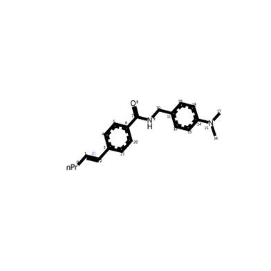 CCC/C=C/c1ccc(C(=O)NCc2ccc(N(C)C)cc2)cc1